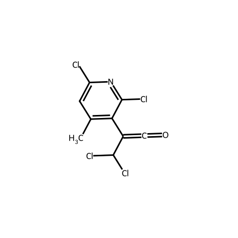 Cc1cc(Cl)nc(Cl)c1C(=C=O)C(Cl)Cl